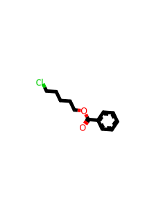 O=C(OCCCCCCl)c1ccccc1